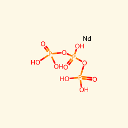 O=P(O)(O)OP(=O)(O)OP(=O)(O)O.[Nd]